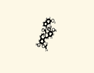 COc1ccc2c(c1)C(NC(=O)CN1CCc3cc(OC)c(OC(C)C)cc3C1Cc1ccc(OC)c(OC)c1)CC2